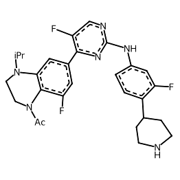 CC(=O)N1CCN(C(C)C)c2cc(-c3nc(Nc4ccc(C5CCNCC5)c(F)c4)ncc3F)cc(F)c21